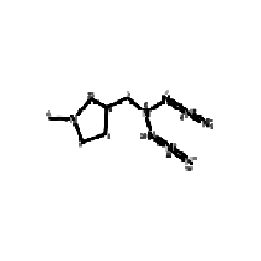 CN1CCC(CN(N=[N+]=[N-])N=[N+]=[N-])C1